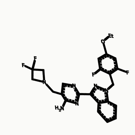 CCOc1cc(F)c(Cn2nc(-c3ncc(CN4CC(F)(F)C4)c(N)n3)c3ccccc32)c(F)c1